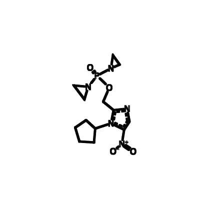 O=[N+]([O-])c1cnc(COP(=O)(N2CC2)N2CC2)n1C1CCCC1